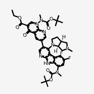 CCOC(=O)c1cn(N(C)C(=O)OC(C)(C)C)c2ncc(-c3cnc4[nH]c5c(N(C)C(=O)OC(C)(C)C)cc(F)c(F)c5c4c3N3CC[C@H]4CN(C)C[C@H]43)cc2c1=O